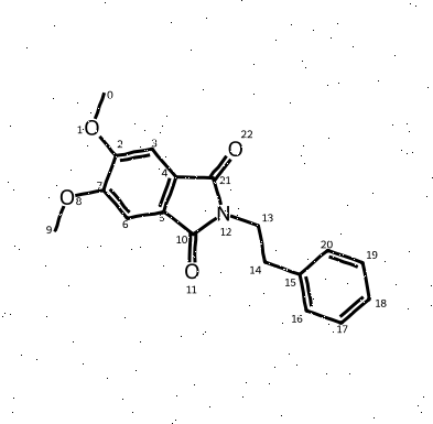 COc1cc2c(cc1OC)C(=O)N(CCc1ccccc1)C2=O